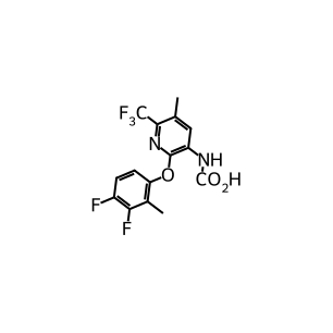 Cc1cc(NC(=O)O)c(Oc2ccc(F)c(F)c2C)nc1C(F)(F)F